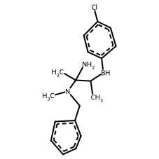 CC(Bc1ccc(Cl)cc1)C(C)(N)N(C)Cc1ccccc1